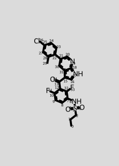 CCCS(=O)(=O)Nc1ccc(F)c(C(=O)c2c[nH]c3ncc(-c4ccc(Cl)cc4C)cc23)c1F